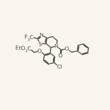 CCOC(=O)COc1ccc(Cl)cc1C1c2sc(C(F)(F)F)nc2CCN1C(=O)OCc1ccccc1